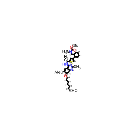 COc1cc2c(N[C@H](C)c3cc(-c4ccccc4CN(C)C(=O)OC(C)(C)C)cs3)nc(C)nc2cc1OCCCCCCC=O